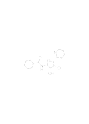 O=C(Nc1oc(-c2ccccn2)c(O)c1O)c1ccccc1